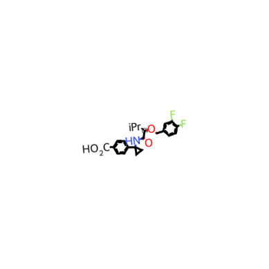 CC(C)[C@@H](OCc1ccc(F)c(F)c1)C(=O)NC1(c2ccc(C(=O)O)cc2)CC1